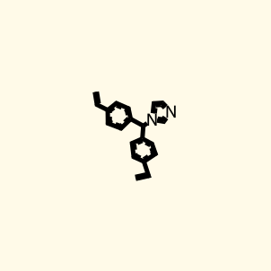 C=Cc1ccc(C(c2ccc(C=C)cc2)n2ccnc2)cc1